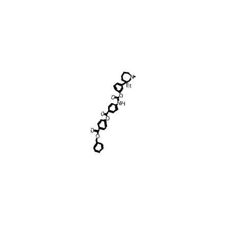 CCC1(c2cccc(OC(=O)Nc3ccc(C(=O)Oc4ccc(C(=O)OCc5ccccc5)cc4)cc3)c2)CCCCN(C)C1